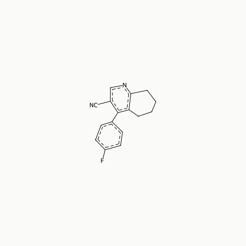 N#Cc1cnc2c(c1-c1ccc(F)cc1)CCCC2